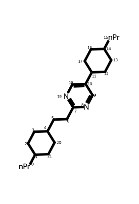 CCCC1CCC(CCc2ncc(C3CCC(CCC)CC3)cn2)CC1